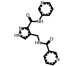 O=C(NCc1c[nH]nc1C(=O)Nc1cccnc1)c1cccnc1